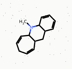 CN1C2C=CC=CC2CC2C=CCC=CC21